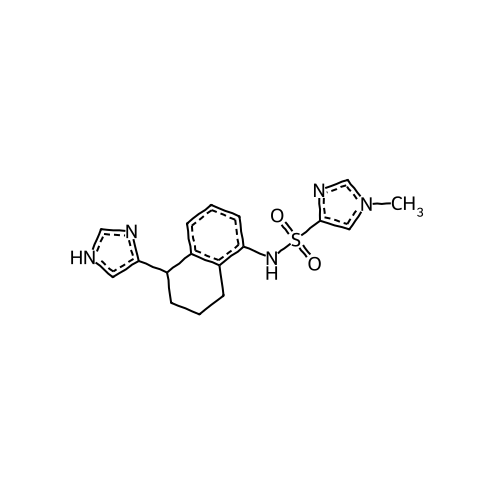 Cn1cnc(S(=O)(=O)Nc2cccc3c2CCCC3c2c[nH]cn2)c1